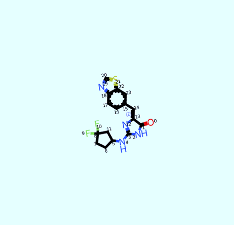 O=C1NC(NC2CCC(F)(F)C2)=N/C1=C\c1ccc2ncsc2c1